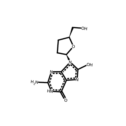 Nc1nc2c(nc(O)n2[C@H]2CC[C@@H](CO)O2)c(=O)[nH]1